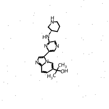 CC(C)(O)c1ccc2ncc(-c3cncc(N[C@@H]4CCCNC4)n3)n2c1